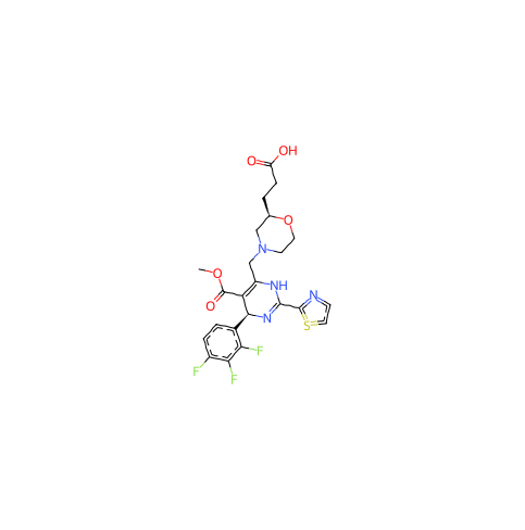 COC(=O)C1=C(CN2CCO[C@H](CCC(=O)O)C2)NC(c2nccs2)=N[C@H]1c1ccc(F)c(F)c1F